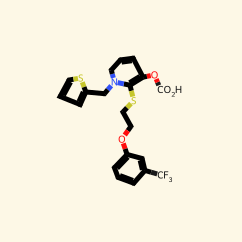 O=C(O)OC1=C(SCCOc2cccc(C(F)(F)F)c2)N(Cc2cccs2)CC=C1